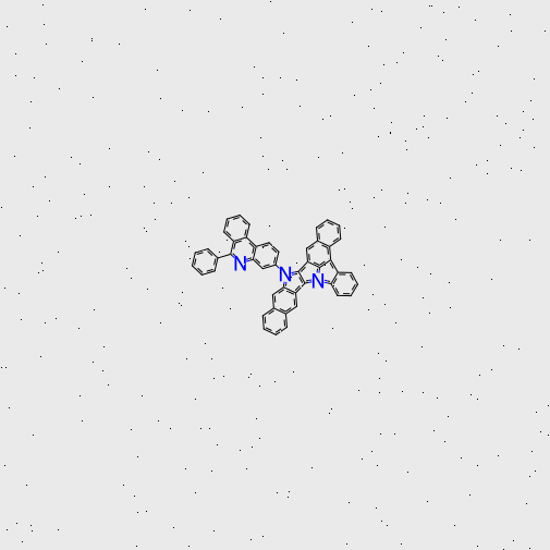 c1ccc(-c2nc3cc(-n4c5cc6ccccc6cc5c5c4c4cc6ccccc6c6c7ccccc7n5c46)ccc3c3ccccc23)cc1